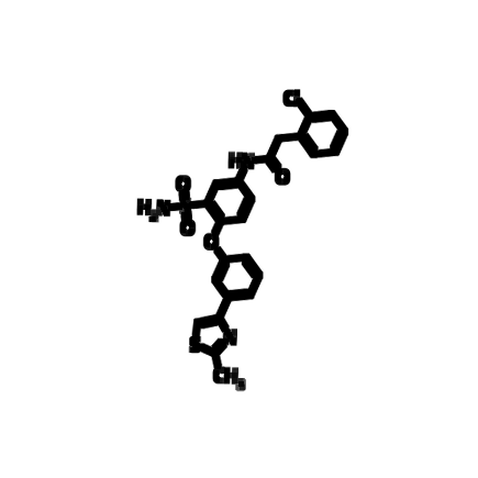 Cc1nc(-c2cccc(Oc3ccc(NC(=O)Cc4ccccc4Cl)cc3S(N)(=O)=O)c2)cs1